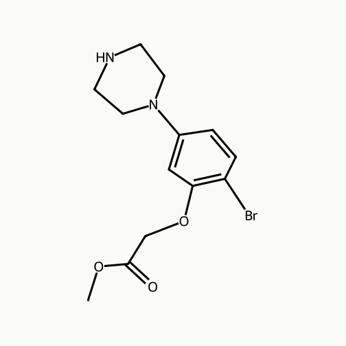 COC(=O)COc1cc(N2CCNCC2)ccc1Br